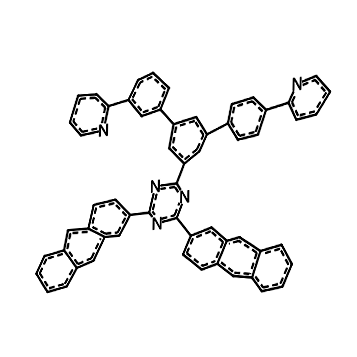 c1ccc(-c2ccc(-c3cc(-c4cccc(-c5ccccn5)c4)cc(-c4nc(-c5ccc6cc7ccccc7cc6c5)nc(-c5ccc6cc7ccccc7cc6c5)n4)c3)cc2)nc1